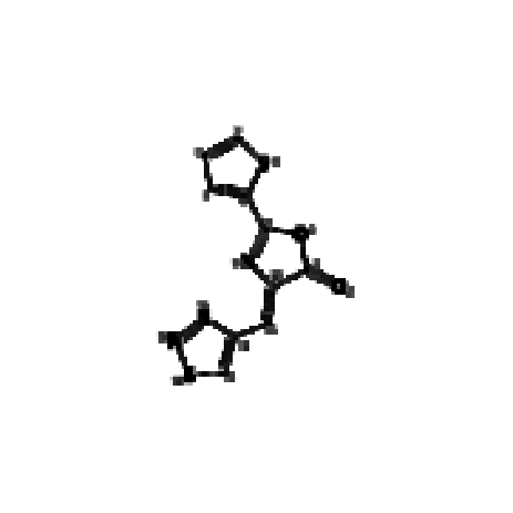 O=C1OC(c2cccs2)=N/C1=C\c1csnn1